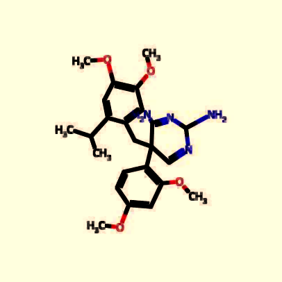 COc1ccc(C2(Cc3cc(OC)c(OC)cc3C(C)C)C=NC(N)N=C2N)c(OC)c1